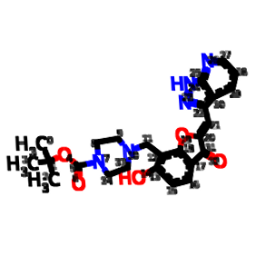 CC(C)(C)OC(=O)N1CCN(Cc2c(O)ccc3c2O/C(=C\c2n[nH]c4ncccc24)C3=O)CC1